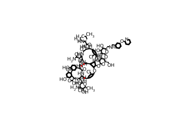 CN[C@H](CC(C)C)C(=O)NC1C(=O)N[C@@H](CC(N)=O)C(=O)N[C@H]2C(=O)N[C@H]3C(=O)N[C@H](C(=O)N[C@@H](C(=O)O)c4cc(O)cc(O)c4-c4cc3ccc4O)[C@H](O[C@H]3C[C@](C)(N)[C@@H](O)[C@H](C)O3)c3ccc(c(Cl)c3)Oc3cc2cc(c3O[C@@H]2O[C@H](CO)[C@@H](O[C@@H]3O[C@H](CNCc4cccc(Oc5ccccn5)c4)[C@H](O)[C@H](O)[C@H]3O)[C@H](O)[C@H]2O)Oc2ccc(cc2Cl)[C@H]1O